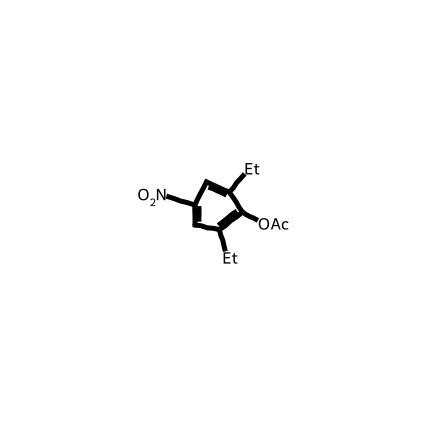 CCc1cc([N+](=O)[O-])cc(CC)c1OC(C)=O